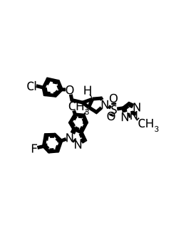 Cc1cc2c(cnn2-c2ccc(F)cc2)cc1[C@@]12CN(S(=O)(=O)c3cnn(C)n3)C[C@@H]1C2COc1ccc(Cl)cc1